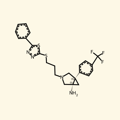 N[C@]12CN(CCCSc3nnc(-c4ccccc4)s3)C[C@@]1(c1ccc(C(F)(F)F)cc1)C2